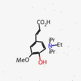 CCN(C(C)C)C(C)C.COc1cc(C=CC(=O)O)ccc1O